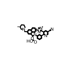 C[C@H]1CCCN(Cc2cc3c4c(cccc4c2)N(c2cccc(-c4ncc(C#N)cc4-c4nncn4C)c2)C3=O)C1.O=CO